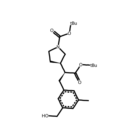 Cc1cc(CO)cc(C[C@H](C(=O)OC(C)(C)C)[C@H]2CCN(C(=O)OC(C)(C)C)C2)c1